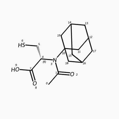 CC(=O)N([C@@H](CS)C(=O)O)C12CC3CC(CC(C3)C1)C2